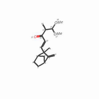 C=C1C2CCC(C2)C1(C)C=CC(=O)C(C)C(OC)OC